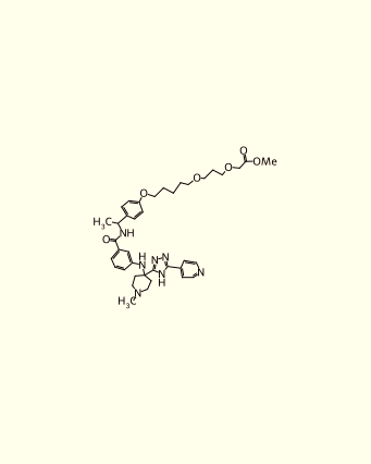 COC(=O)COCCCOCCCCCOc1ccc(C(C)NC(=O)c2cccc(NC3(c4nnc(-c5ccncc5)[nH]4)CCN(C)CC3)c2)cc1